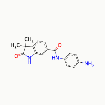 CC1(C)C(=O)Nc2cc(C(=O)Nc3ccc(N)cc3)ccc21